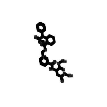 COC(=O)C(c1ccccc1)C1CCCCN1C(=O)OC[n+]1cccc(C(=O)NC(CC(=O)OC(C)(C)C)C(=O)OC(C)(C)C)c1